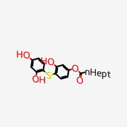 CCCCCCCC(=O)Oc1ccc(Sc2ccc(O)cc2O)c(O)c1